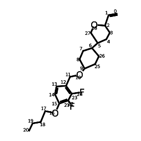 C=CC1CCC(C2CCC(OCc3ccc(OCCCC)c(F)c3F)CC2)CO1